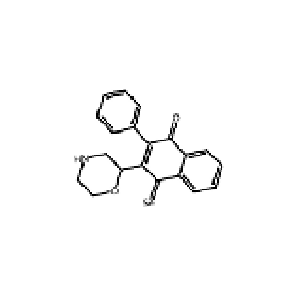 O=C1C(c2ccccc2)=C(C2CNCCO2)C(=[Se])c2ccccc21